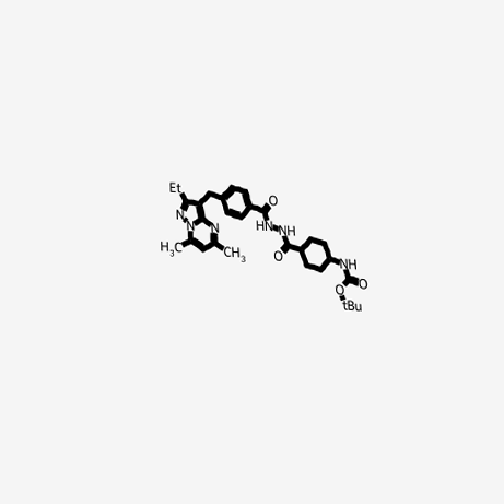 CCc1nn2c(C)cc(C)nc2c1Cc1ccc(C(=O)NNC(=O)C2CCC(NC(=O)OC(C)(C)C)CC2)cc1